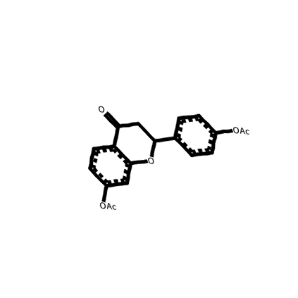 CC(=O)Oc1ccc(C2CC(=O)c3ccc(OC(C)=O)cc3O2)cc1